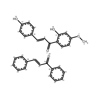 COc1ccc(C(=O)/C=C/c2ccc(O)cc2)c(O)c1.O=C(/C=C/c1ccccc1)c1ccccc1